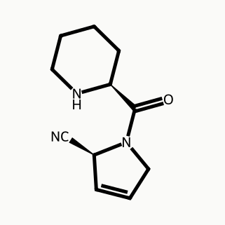 N#C[C@@H]1C=CCN1C(=O)[C@@H]1CCCCN1